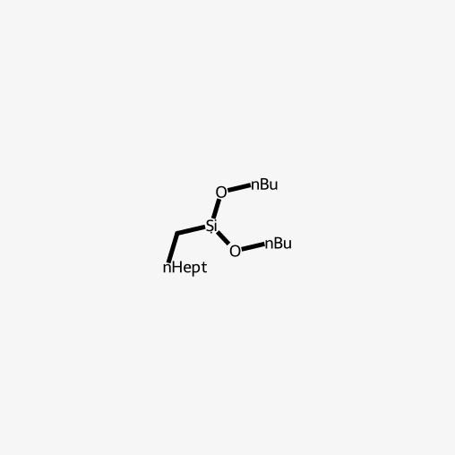 CCCCCCCC[Si](OCCCC)OCCCC